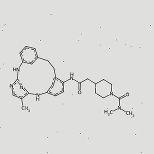 Cc1cnc2nc1Nc1ccc(NC(=O)CC3CCN(C(=O)N(C)C)CC3)c(c1)CCc1cccc(c1)N2